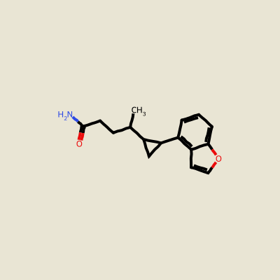 CC(CCC(N)=O)C1CC1c1cccc2occc12